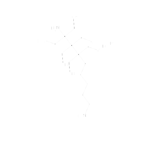 Br.Br.CCC(N)(CC)C(CC)(CC)C(CC)(CC)CCCCCN